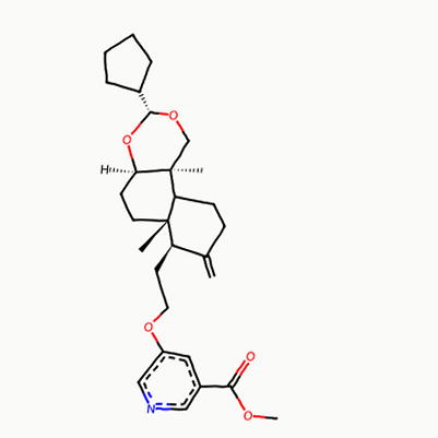 C=C1CCC2[C@]3(C)CO[C@@H](C4CCCC4)O[C@@H]3CC[C@@]2(C)[C@@H]1CCOc1cncc(C(=O)OC)c1